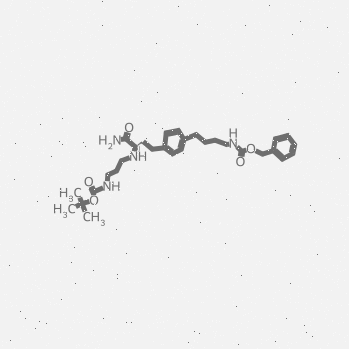 CC(C)(C)OC(=O)NCCCN[C@@H](CCc1ccc(CCCCNC(=O)OCc2ccccc2)cc1)C(N)=O